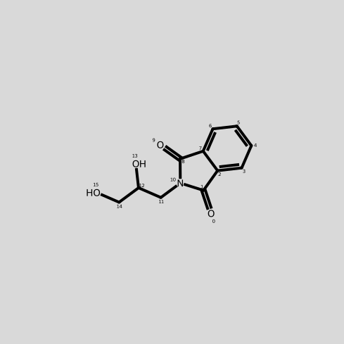 O=C1c2ccccc2C(=O)N1CC(O)CO